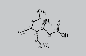 CCCC(C)C(CC)C(N)CC(=O)O